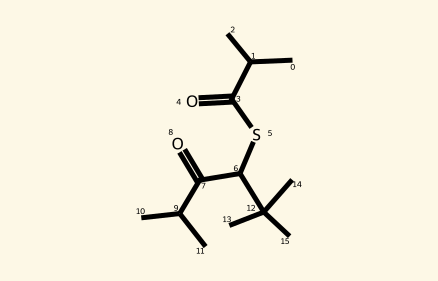 CC(C)C(=O)SC(C(=O)C(C)C)C(C)(C)C